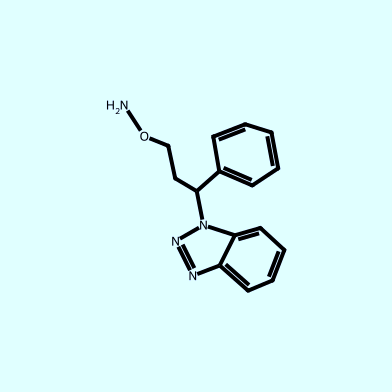 NOCCC(c1ccccc1)n1nnc2ccccc21